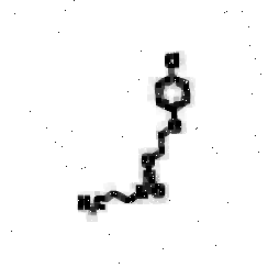 CCCn1on1OCCOc1ccc(Cl)cc1